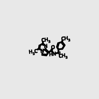 CC1=CCC([C@H](C)NC(=O)c2ccn3c(C)cc(C)nc23)C=C1